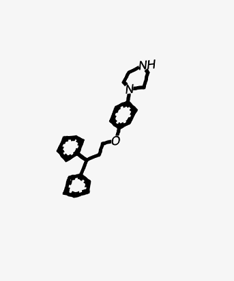 c1ccc(C(CCOc2ccc(N3CCNCC3)cc2)c2ccccc2)cc1